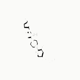 CCOC(=O)c1cnc(N2CCN(C(=O)NS(=O)(=O)c3ccc(Cl)s3)CC2)c(Cl)c1